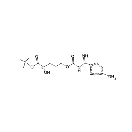 CC(C)(C)OC(=O)[C@@H](O)CCCOC(=O)NC(=N)c1ccc(N)cc1